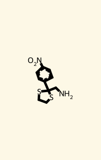 NCC1(c2ccc([N+](=O)[O-])cc2)SCCS1